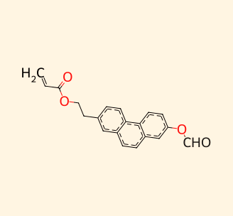 C=CC(=O)OCCc1ccc2c(ccc3cc(OC=O)ccc32)c1